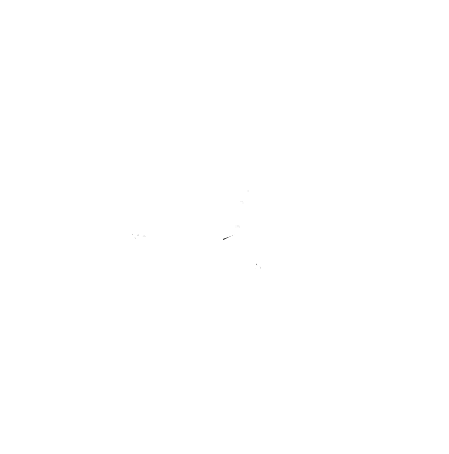 COCCCC[C@@](O)(c1cccc(C)c1)[C@@H]1CCCNC1